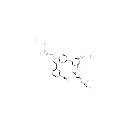 CCOP(=O)(O)OCn1cc(-c2cccc(C#N)c2)c2cc(-c3cc(NC(=O)/C=C/CN(C)C)cc(OC)c3)cnc21